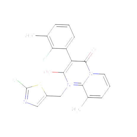 Cc1cccc(-c2c(O)[n+](Cc3cnc(Cl)s3)c3c(C)cccn3c2=O)c1F